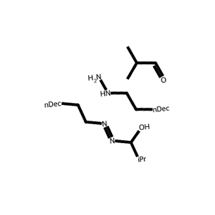 CC(C)C=O.CCCCCCCCCCCC/N=N/C(O)C(C)C.CCCCCCCCCCCCNN